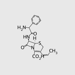 C/C=C\C1=C(C(=O)O)N2C(=O)[C@@H](NC(=O)C(N)c3ccccc3)[C@H]2SC1